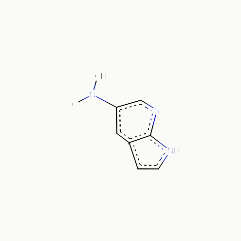 CN(C)c1cnc2[nH]ccc2c1